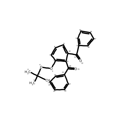 CC(C)(C)OOc1cccc(C(=O)c2ccccc2)c1C(=O)c1ccccc1